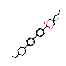 CCCC1(F)COC(c2ccc(-c3ccc(C4CCC(CC)CC4)cc3)cc2)OC1